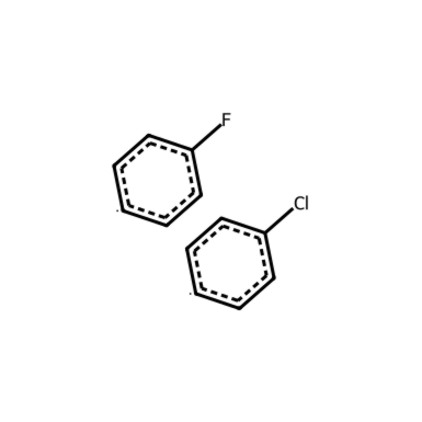 Clc1cc[c]cc1.Fc1cc[c]cc1